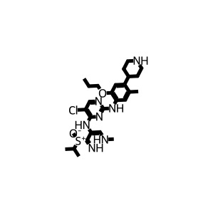 CCCOc1cc(C2CCNCC2)c(C)cc1Nc1ncc(Cl)c(N/C(=C/NC)C(=N)[S+]([O-])C(C)C)n1